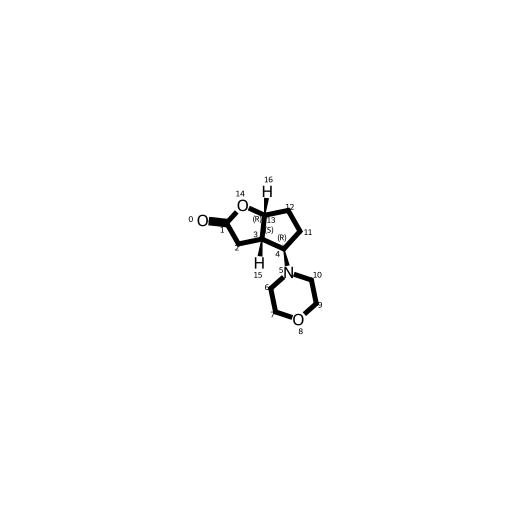 O=C1C[C@H]2[C@H](N3CCOCC3)CC[C@H]2O1